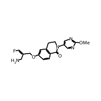 COc1ncc(N2CCc3cc(OC/C(=C/F)CN)ccc3C2=O)cn1